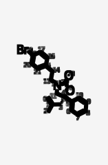 C=C(C)C[C@]1(c2ccccc2)CN(CCc2ccc(Br)cc2)C(=O)O1